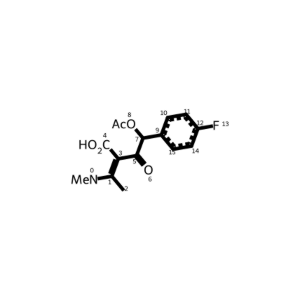 CN/C(C)=C(\C(=O)O)C(=O)C(OC(C)=O)c1ccc(F)cc1